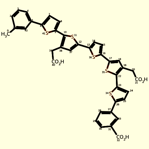 Cc1cccc(-c2ccc(-c3sc(-c4ccc(-c5cc(CC(=O)O)c(-c6ccc(-c7cccc(C(=O)O)c7)s6)s5)s4)cc3CC(=O)O)s2)c1